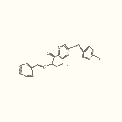 CCC(OCc1ccccc1)C(=O)c1ccc(Cc2ccc(F)cc2)cn1